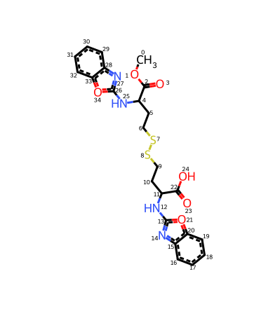 COC(=O)C(CCSSCCC(Nc1nc2ccccc2o1)C(=O)O)Nc1nc2ccccc2o1